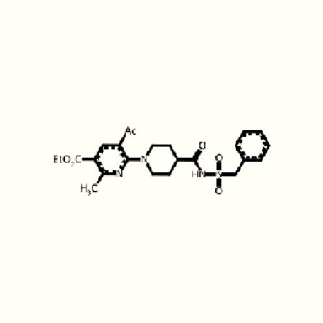 CCOC(=O)c1cc(C(C)=O)c(N2CCC(C(=O)NS(=O)(=O)Cc3ccccc3)CC2)nc1C